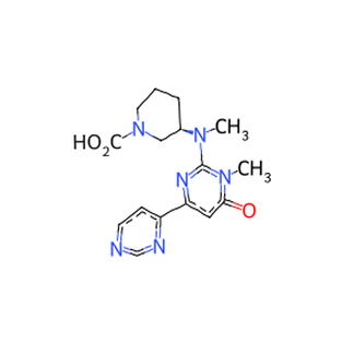 CN(c1nc(-c2ccncn2)cc(=O)n1C)[C@@H]1CCCN(C(=O)O)C1